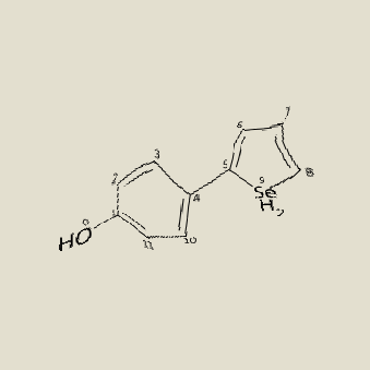 Oc1ccc(C2=CC=C[SeH2]2)cc1